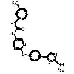 CCCCNc1ncc(-c2ccc(Oc3ncc(NC(=O)Nc4cccc(C(F)(F)F)c4)cn3)cc2)s1